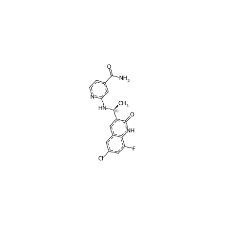 C[C@H](Nc1cc(C(N)=O)ccn1)c1cc2cc(Cl)cc(F)c2[nH]c1=O